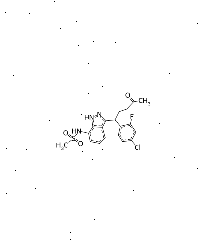 CC(=O)CCC(c1ccc(Cl)cc1F)c1n[nH]c2c(NS(C)(=O)=O)cccc12